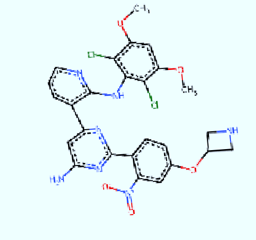 COc1cc(OC)c(Cl)c(Nc2ncccc2-c2cc(N)nc(-c3ccc(OC4CNC4)cc3[N+](=O)[O-])n2)c1Cl